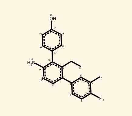 CCc1c(-c2ccc(F)c(C)c2)cnc(N)c1-c1ccc(O)cc1